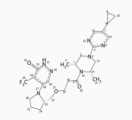 C[C@@H]1CN(c2ncc(C3CC3)cn2)C[C@H](C)N1C(=O)CCOC[C@@H]1CCCN1c1cn[nH]c(=O)c1C(F)(F)F